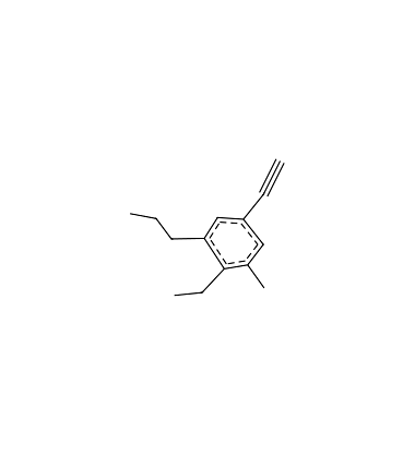 C#Cc1cc(C)c(CC)c(CCC)c1